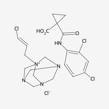 ClC=CC[N+]12CN3CN(CN(C3)C1)C2.O=C(O)C1(C(=O)Nc2ccc(Cl)cc2Cl)CC1.[Cl-]